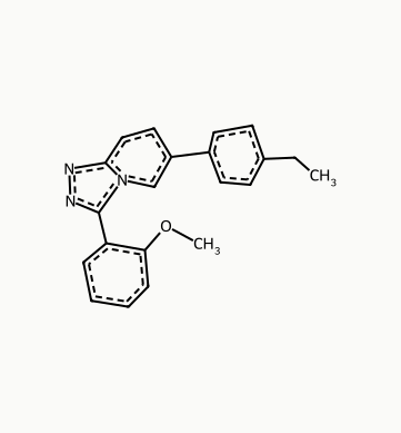 CCc1ccc(-c2ccc3nnc(-c4ccccc4OC)n3c2)cc1